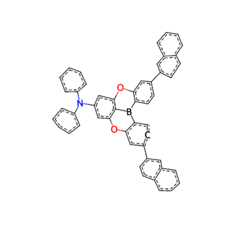 c1ccc(N(c2ccccc2)c2cc3c4c(c2)Oc2cc(-c5ccc6ccccc6c5)ccc2B4c2ccc(-c4ccc5ccccc5c4)cc2O3)cc1